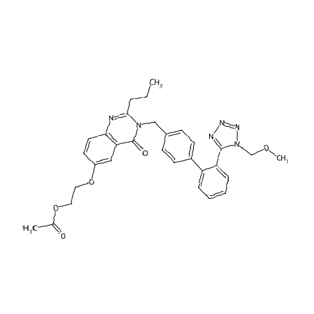 CCCc1nc2ccc(OCCOC(C)=O)cc2c(=O)n1Cc1ccc(-c2ccccc2-c2nnnn2COC)cc1